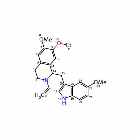 C=CN1CCc2cc(OC)c(OCC)cc2C1Cc1c[nH]c2ccc(OC)cc12